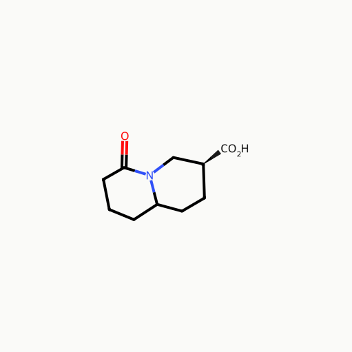 O=C(O)[C@H]1CCC2CCCC(=O)N2C1